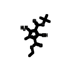 CCOC(=O)c1c(O)c(C(=O)OC(C)(C)C)c(N)n1C